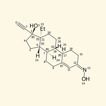 C#C[C@@]1(O)CC[C@H]2[C@@H]3CCC4=CC(=NO)CC[C@@H]4[C@H]3CC[C@@]21CC